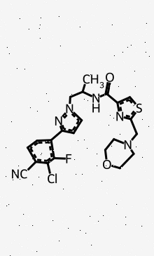 CC(Cn1ccc(-c2ccc(C#N)c(Cl)c2F)n1)NC(=O)c1csc(CN2CCOCC2)n1